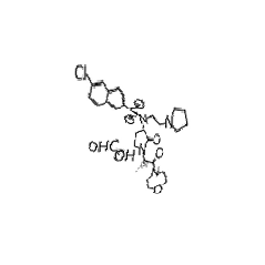 C[C@@H](C(=O)N1CCOCC1)N1CCC(N(CCN2CCCC2)S(=O)(=O)c2ccc3cc(Cl)ccc3c2)C1=O.O=CO